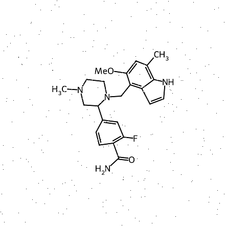 COc1cc(C)c2[nH]ccc2c1CN1CCN(C)CC1c1ccc(C(N)=O)c(F)c1